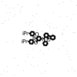 CC(C)c1ccc2c(c1)B1c3cc(C(C)C)ccc3Oc3cc(N(c4ccccc4)c4cccc5c4oc4ccccc45)cc(c31)O2